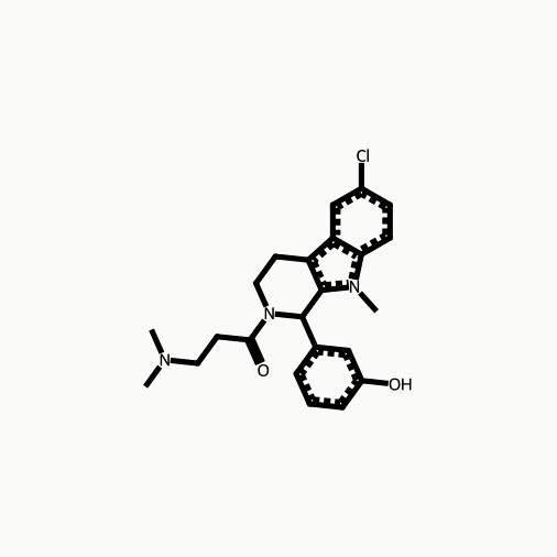 CN(C)CCC(=O)N1CCc2c(n(C)c3ccc(Cl)cc23)C1c1cccc(O)c1